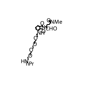 CCCNCCOCCOCCOCCOCCNc1cccc2c1C(=O)N(C(C=O)CCC(=O)NC)C2=O